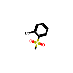 [CH2]Cc1ccccc1S(C)(=O)=O